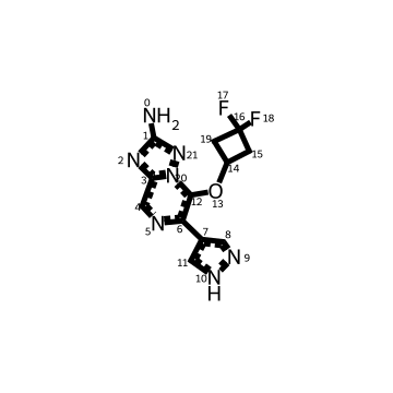 Nc1nc2cnc(-c3cn[nH]c3)c(OC3CC(F)(F)C3)n2n1